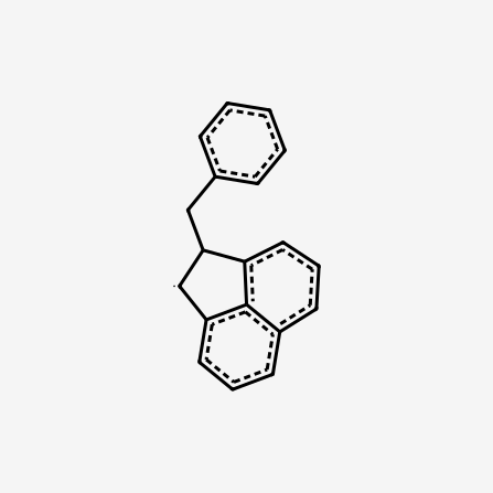 [CH]1c2cccc3cccc(c23)C1Cc1ccccc1